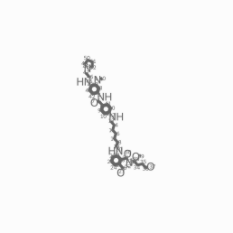 C=Nc1cc(NC(=O)c2ccc(NCCCCCCCNc3cccc(C=O)c3C(=O)N(C)C(CCC=O)OC)cc2)ccc1NCCN1CCCC1